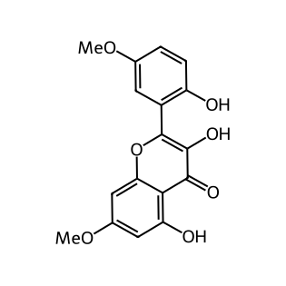 COc1ccc(O)c(-c2oc3cc(OC)cc(O)c3c(=O)c2O)c1